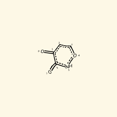 O=c1cco[nH]c1=O